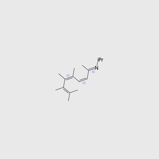 CC(C)=C(C)\C(C)=C(C)/C=C\C(C)=N\C(C)C